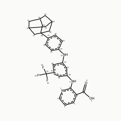 O=C(O)c1cccnc1Nc1cc(Nc2ccc(C34CC5CC(CC(C5)C3)C4)cc2)cc(C(F)(F)F)c1